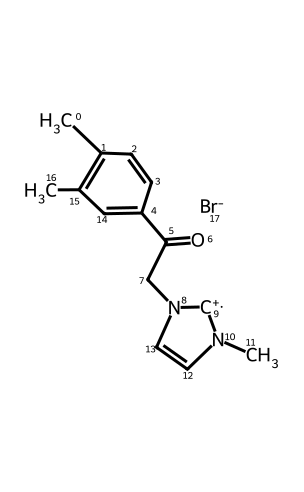 Cc1ccc(C(=O)CN2[C+]N(C)C=C2)cc1C.[Br-]